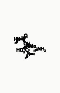 CN.CN(C)C(=O)O.CNC.CNC(=O)O